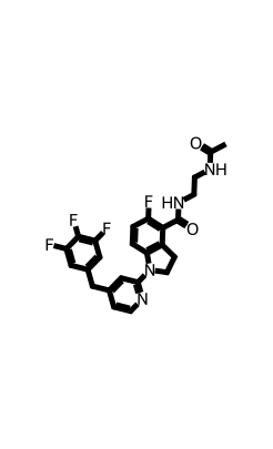 CC(=O)NCCNC(=O)c1c(F)ccc2c1CCN2c1cc(Cc2cc(F)c(F)c(F)c2)ccn1